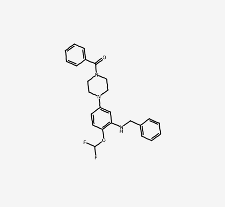 O=C(c1ccccc1)N1CCN(c2ccc(OC(F)F)c(NCc3ccccc3)c2)CC1